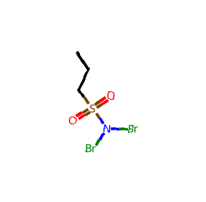 CCCS(=O)(=O)N(Br)Br